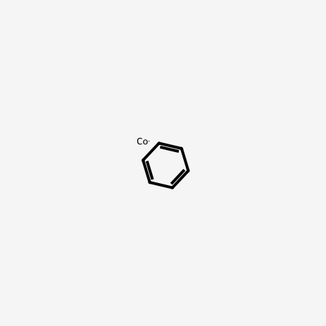 [Co].c1ccccc1